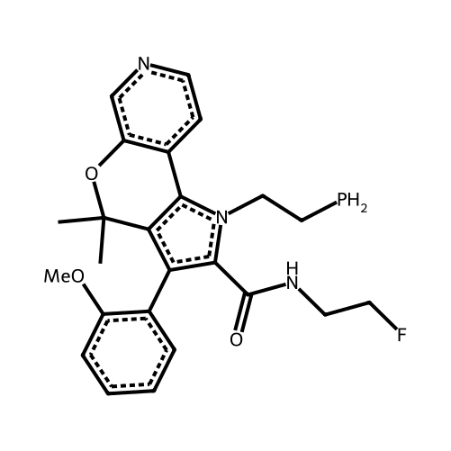 COc1ccccc1-c1c2c(n(CCP)c1C(=O)NCCF)-c1ccncc1OC2(C)C